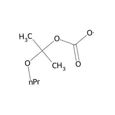 CCCOC(C)(C)OC([O])=O